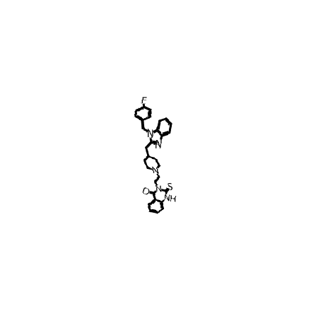 O=c1c2ccccc2[nH]c(=S)n1CCN1CCC(Cc2nc3ccccc3n2Cc2ccc(F)cc2)CC1